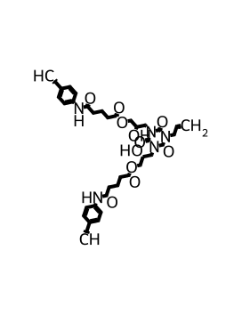 C#Cc1ccc(NC(=O)CCCC(=O)OCC(O)Cn2c(=O)n(CC=C)c(=O)n(CC(O)COC(=O)CCCC(=O)Nc3ccc(C#C)cc3)c2=O)cc1